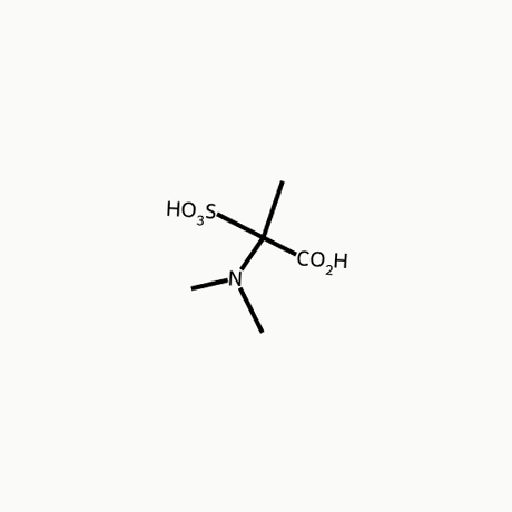 CN(C)C(C)(C(=O)O)S(=O)(=O)O